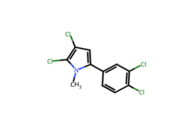 Cn1c(-c2ccc(Cl)c(Cl)c2)cc(Cl)c1Cl